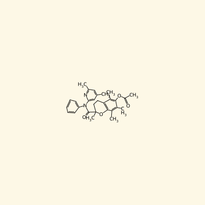 CC(=O)Oc1c(C)c(C)c2c(c1C)CCC(C)(C(=O)N(c1ccccc1)c1cc(C)cc(C)n1)O2